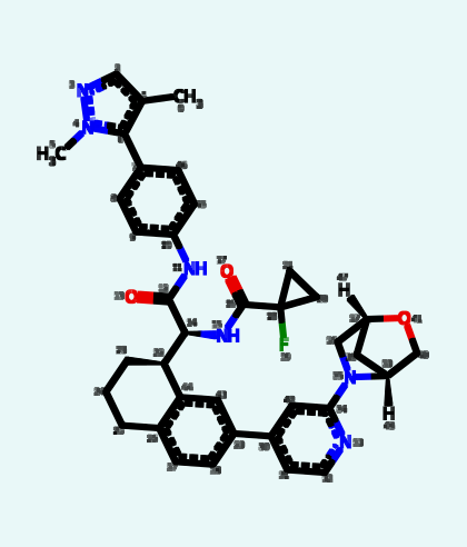 Cc1cnn(C)c1-c1ccc(NC(=O)[C@@H](NC(=O)C2(F)CC2)[C@@H]2CCCc3ccc(-c4ccnc(N5C[C@H]6C[C@@H]5CO6)c4)cc32)cc1